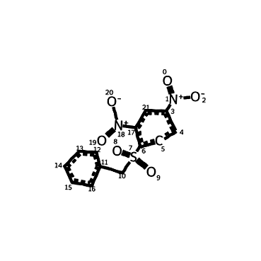 O=[N+]([O-])c1ccc(S(=O)(=O)Cc2ccccc2)c([N+](=O)[O-])c1